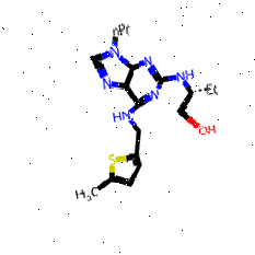 CCCN1C=NC2C(NCc3ccc(C)s3)=NC(N[C@H](CC)CO)=NC21